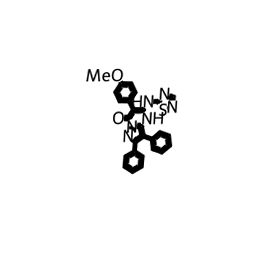 COc1ccc(-c2c(Nc3ncns3)[nH]c3c(-c4ccccc4)c(-c4ccccc4)nn3c2=O)cc1